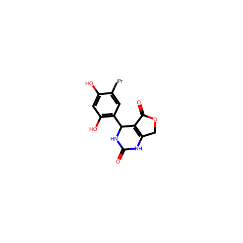 CC(C)c1cc(C2NC(=O)NC3=C2C(=O)OC3)c(O)cc1O